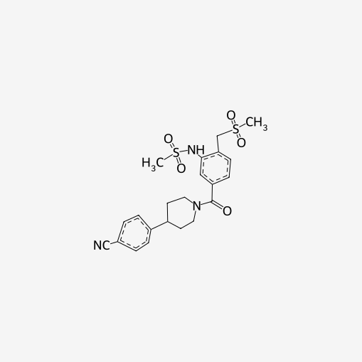 CS(=O)(=O)Cc1ccc(C(=O)N2CCC(c3ccc(C#N)cc3)CC2)cc1NS(C)(=O)=O